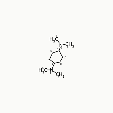 CN(C)C1CCC(N(C)C)CC1